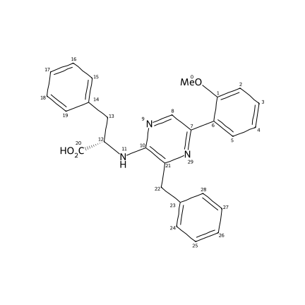 COc1ccccc1-c1cnc(N[C@@H](Cc2ccccc2)C(=O)O)c(Cc2ccccc2)n1